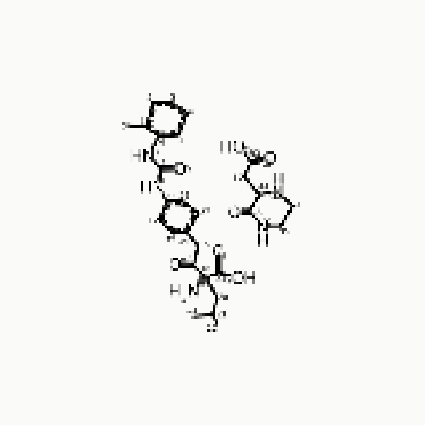 Cc1ccccc1NC(=O)Nc1ccc(CC(=O)[C@](N)(CC(C)C)C(=O)O)cc1.O=C(O)CC1NCCNC1=O